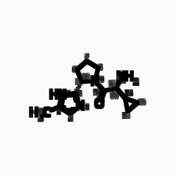 Cc1cnc([C@@H]2CCCN2C(=O)[C@@H](N)C2CC2)[nH]1